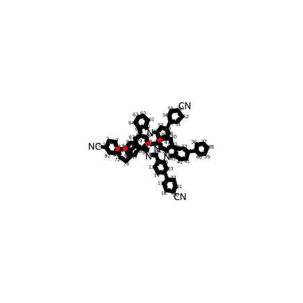 N#Cc1ccc(-c2ccc(-c3nc(-c4ccc(-c5ccc(C#N)cc5)cc4-n4c5ccccc5c5cc(-c6ccccc6)ccc54)nc(-c4ccc(-c5ccc(C#N)cc5)cc4-n4c5ccccc5c5cc(-c6ccccc6)ccc54)n3)cc2)cc1